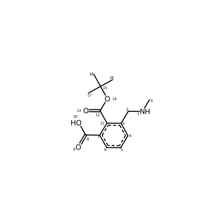 CNCc1cccc(C(=O)O)c1C(=O)OC(C)(C)C